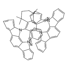 CC1(C)CCC(C)(C)c2c(-n3c4ccccc4c4ccc5c6ccccc6n(-c6ccccc6)c5c43)c(C#N)c(-n3c4ccccc4c4ccc5c6ccccc6n(-c6ccccc6)c5c43)c(C#N)c21